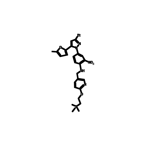 CCc1cc(-c2ccc(C)o2)n(-c2ccc(NCc3ccc(OCC[Si](C)(C)C)nc3)c([N+](=O)[O-])c2)n1